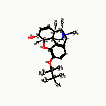 CN1CC[C@]23c4c5ccc(O[Si](C)(C)C(C)(C)C)c4O[C@H]2[C@@H](O)C=C[C@H]3[C@H]1C5